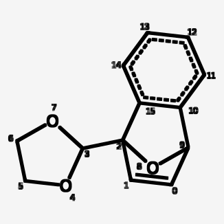 C1=CC2(C3OCCO3)OC1c1ccccc12